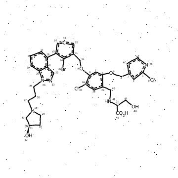 N#Cc1cc(COc2cc(OCc3cccc(-c4cccc5c4cnn5CCCN4CC[C@@H](O)C4)c3Br)c(Cl)cc2CNC(CO)C(=O)O)ccn1